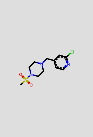 CS(=O)(=O)N1CCN(Cc2ccnc(Cl)c2)CC1